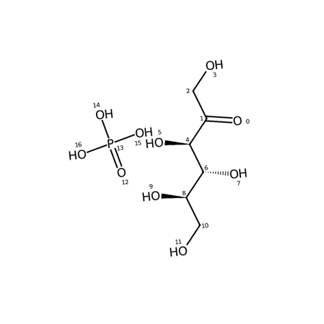 O=C(CO)[C@H](O)[C@H](O)[C@H](O)CO.O=P(O)(O)O